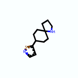 c1cc(C2CCC3(CCCN3)CC2)sn1